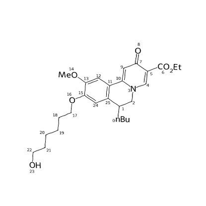 CCCCC1Cn2cc(C(=O)OCC)c(=O)cc2-c2cc(OC)c(OCCCCCCO)cc21